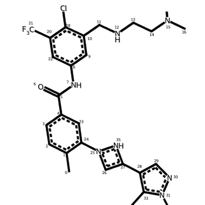 Cc1ccc(C(=O)Nc2cc(CNCCN(C)C)c(Cl)c(C(F)(F)F)c2)cc1-n1cc(-c2cnn(C)c2C)[nH]1